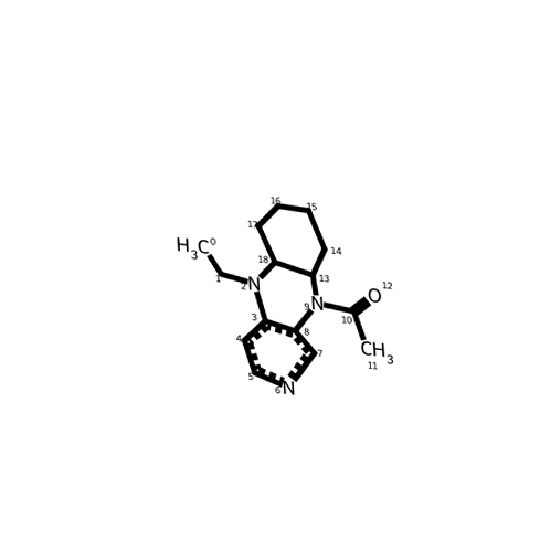 CCN1c2ccncc2N(C(C)=O)C2CCCCC21